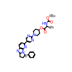 CC(C)C(NC(=O)OC(C)(C)C)C(=O)OC1CCN(c2ncc(-c3ccc4nc5n(c4n3)[C@@H](c3ccccc3)CC5)cn2)CC1